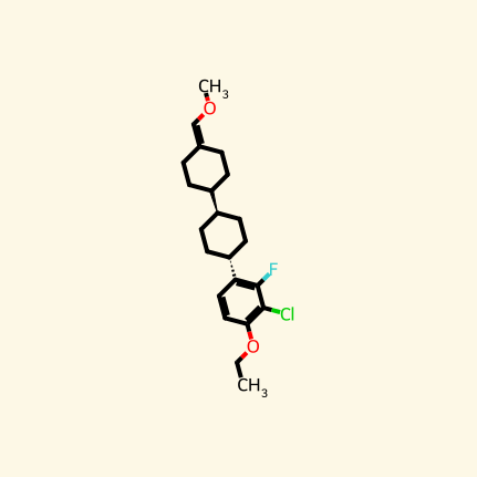 CCOc1ccc([C@H]2CC[C@H](C3CCC(=COC)CC3)CC2)c(F)c1Cl